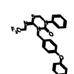 O=C1N(Cc2ccc(Oc3ccccc3)cc2)/C(=N\CC(F)(F)F)SCN1c1ccccc1